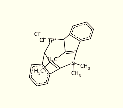 CC1=C2c3ccccc3[CH]1[Ti+2][CH]1C(C)=C(c3ccccc31)[Si]2(C)C.[Cl-].[Cl-]